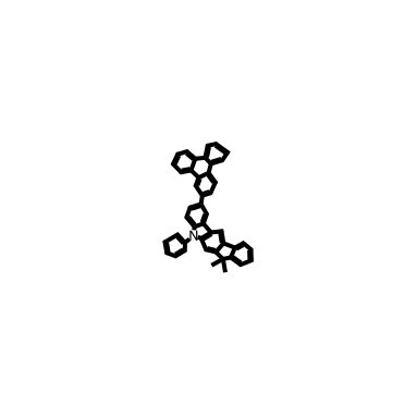 CC1(C)c2ccccc2-c2cc3c4cc(-c5ccc6c7ccccc7c7ccccc7c6c5)ccc4n(-c4ccccc4)c3cc21